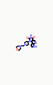 O=c1[nH]c(=O)n(C2CCN(CCN3CCOCC3)CC2)c2c1cnc1[nH]ccc12